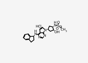 COS(=O)(=O)N[C@H]1C[C@@H](n2ccc3c(N[C@H]4CCc5ccccc54)ncnc32)C[C@@H]1O.Cl